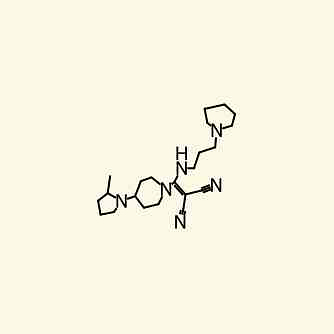 CC1CCCN1C1CCN(C(NCCCN2CCCCC2)=C(C#N)C#N)CC1